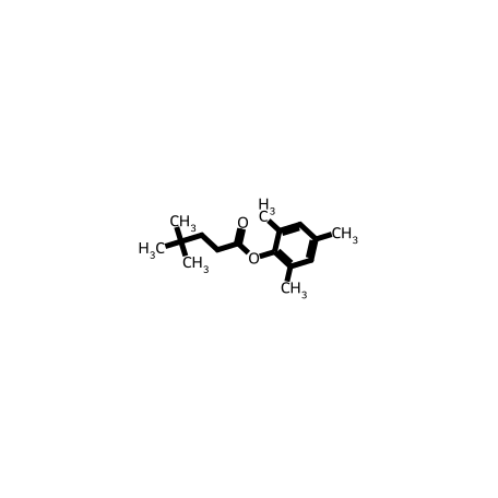 Cc1cc(C)c(OC(=O)CCC(C)(C)C)c(C)c1